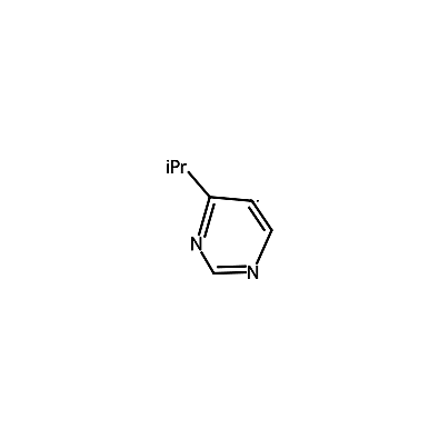 CC(C)c1[c]cncn1